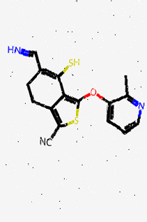 Cc1ncccc1Oc1sc(C#N)c2c1C(S)=C(C=N)CC2